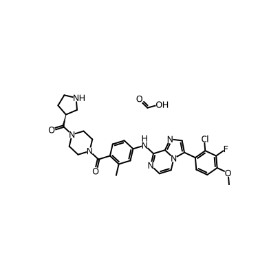 COc1ccc(-c2cnc3c(Nc4ccc(C(=O)N5CCN(C(=O)[C@H]6CCNC6)CC5)c(C)c4)nccn23)c(Cl)c1F.O=CO